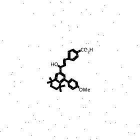 COc1ccc(-c2cc(C(O)/C=C/c3ccc(C(=O)O)cc3)cc3c2C(C)(C)CCC3(C)C)cc1